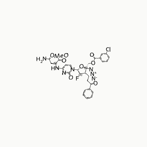 COC(=O)[C@H](CC(N)=O)Nc1ccn(C2O[C@@](COC(=O)c3cccc(Cl)c3)(N=[N+]=[N-])C(CCC(=O)c3ccccc3)[C@@H]2F)c(=O)n1